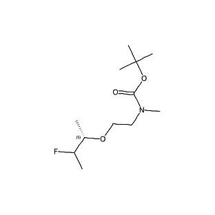 CC(F)[C@H](C)OCCN(C)C(=O)OC(C)(C)C